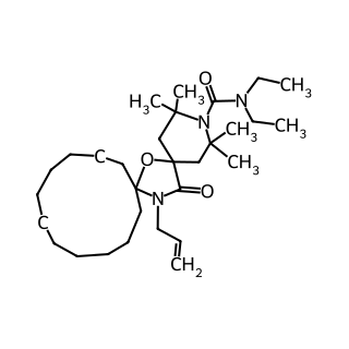 C=CCN1C(=O)C2(CC(C)(C)N(C(=O)N(CC)CC)C(C)(C)C2)OC12CCCCCCCCCCC2